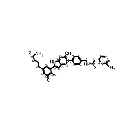 C=C[C@@H](C[C@@H](C)NCc1ccc(N2C=c3cc(-c4cc(CCC[C@H](C)N)cc(Cl)c4F)[nH]c3=NC2O)cc1)NC(=N)N